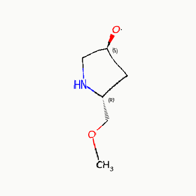 COC[C@H]1C[C@H]([O])CN1